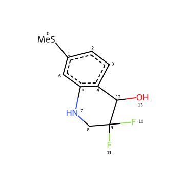 CSc1ccc2c(c1)NCC(F)(F)C2O